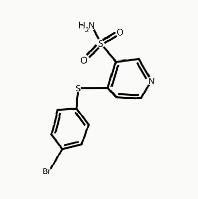 NS(=O)(=O)c1cnccc1Sc1ccc(Br)cc1